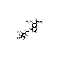 COc1cc2c(OCC[C@H]3NC(=O)[C@](F)(CO)[C@H]3C)nccc2cc1C(N)=O